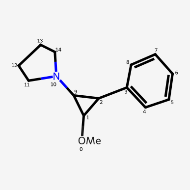 COC1C(c2ccccc2)C1N1CCCC1